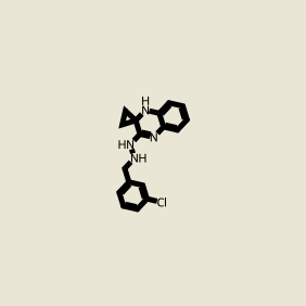 Clc1cccc(CNNC2=Nc3ccccc3NC23CC3)c1